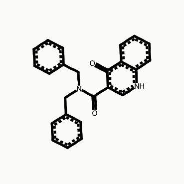 O=C(c1c[nH]c2ccccc2c1=O)N(Cc1ccccc1)Cc1ccccc1